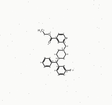 CCOC(=O)c1ccnc(CN2CCN(C(c3ccccc3)c3cccc(F)c3)CC2)c1